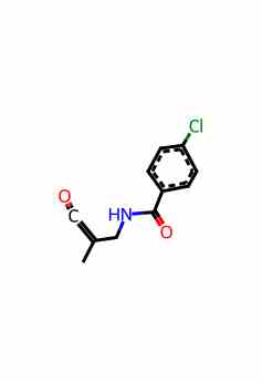 CC(=C=O)CNC(=O)c1ccc(Cl)cc1